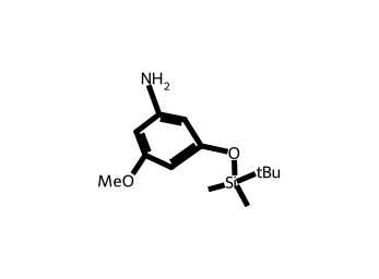 COc1cc(N)cc(O[Si](C)(C)C(C)(C)C)c1